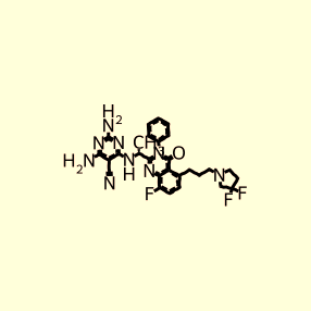 C[C@H](Nc1nc(N)nc(N)c1C#N)c1nc2c(F)ccc(CCCN3CCC(F)(F)C3)c2c(=O)n1-c1ccccc1